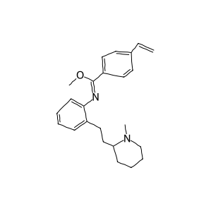 C=Cc1ccc(/C(=N/c2ccccc2CCC2CCCCN2C)OC)cc1